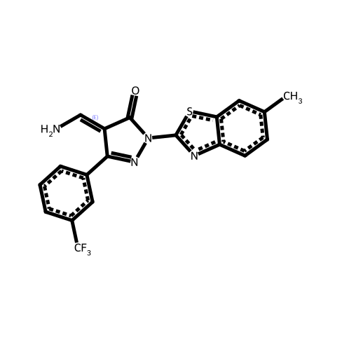 Cc1ccc2nc(N3N=C(c4cccc(C(F)(F)F)c4)/C(=C\N)C3=O)sc2c1